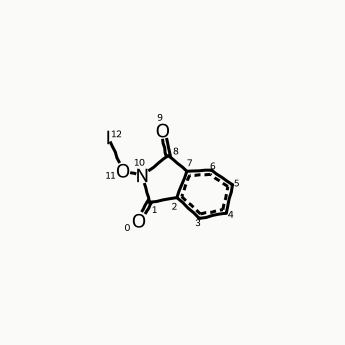 O=C1c2ccccc2C(=O)N1OI